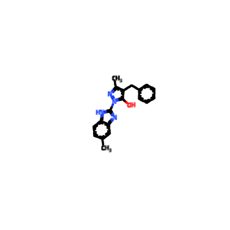 Cc1ccc2[nH]c(-n3nc(C)c(Cc4ccccc4)c3O)nc2c1